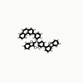 Cc1c(N(c2ccc(-c3cccc4c3oc3ccccc34)cc2)c2cccc(-c3ccc4ccc5ccccc5c4c3)c2)oc2ccccc12